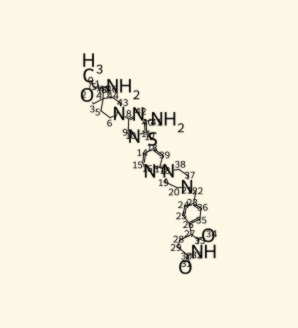 C[C@@H]1OCC2(CCN(c3cnc(Sc4ccnc(N5CCN(Cc6ccc(C7CCC(=O)NC7=O)cc6)CC5)c4)c(N)n3)CC2)[C@@H]1N